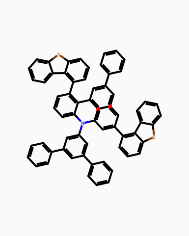 c1ccc(-c2cccc(-c3c(-c4cccc5sc6ccccc6c45)cccc3N(c3cc(-c4ccccc4)cc(-c4ccccc4)c3)c3cccc(-c4cccc5sc6ccccc6c45)c3)c2)cc1